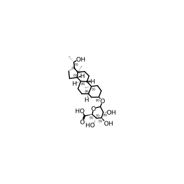 C[C@H](O)[C@H]1CC[C@H]2[C@@H]3CC[C@@H]4C[C@H](OC5O[C@H](C(=O)O)[C@@H](O)[C@H](O)[C@H]5O)CC[C@]4(C)[C@H]3CC[C@]12C